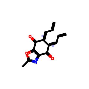 C=C/C=C1/C(=O)c2nc(C)oc2C(=O)/C1=C/C=C